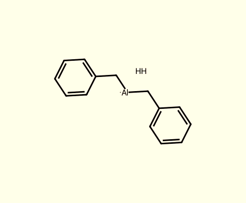 [HH].c1ccc([CH2][Al][CH2]c2ccccc2)cc1